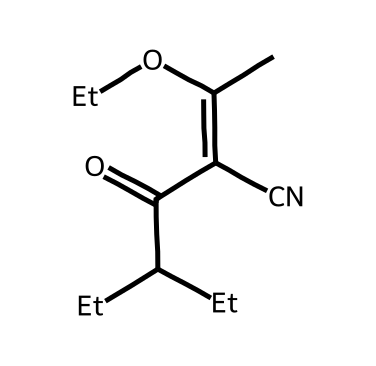 CCOC(C)=C(C#N)C(=O)C(CC)CC